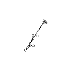 COCCOCC(COCCCCCCC(=O)NCCCCCCCCCCCCOP(=O)(O)OC)OCCOC